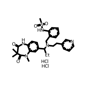 CCC(c1ccc2c(c1)N(C)C(=O)C(C)(C)C(=O)N2)N(CCc1cccnc1)Cc1ccccc1NS(C)(=O)=O.Cl.Cl